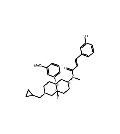 COc1cccc([C@@]23CCN(CC4CC4)C[C@H]2CC[C@H](N(C)C(=O)C=Cc2cccc(O)c2)C3)c1